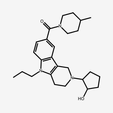 CCCn1c2c(c3cc(C(=O)N4CCC(C)CC4)ccc31)CN(C1CCCC1O)CC2